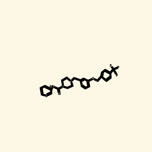 O=C(Nc1cccnc1)N1CCN(Cc2cccc(OCc3ccc(C(F)(F)F)cc3)c2)CC1